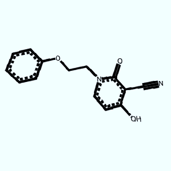 N#Cc1c(O)ccn(CCOc2ccccc2)c1=O